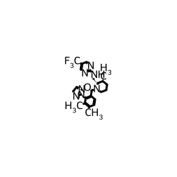 Cc1ccc(C(=O)N2CCC[C@@H](C)[C@H]2CNc2ncc(C(F)(F)F)cn2)c(-n2nccn2)c1C